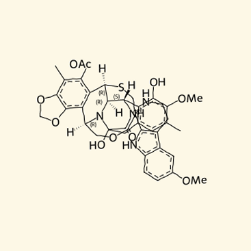 COc1ccc2[nH]c3c(c2c1)CCN[C@]31CS[C@@H]2c3c(OC(C)=O)c(C)c4c(c3[C@H](COC1=O)N1[C@@H]2[C@H]2NCC1(O)Cc1cc(C)c(OC)c(O)c12)OCO4